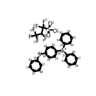 O=S(=O)([O-])C(F)(F)C(F)C(F)(F)F.c1ccc(Sc2ccc([S+](c3ccccc3)c3ccccc3)cc2)cc1